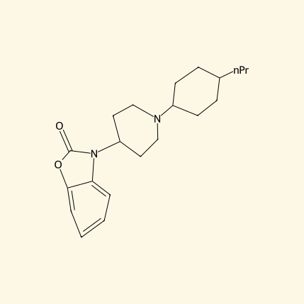 CCCC1CCC(N2CCC(n3c(=O)oc4ccccc43)CC2)CC1